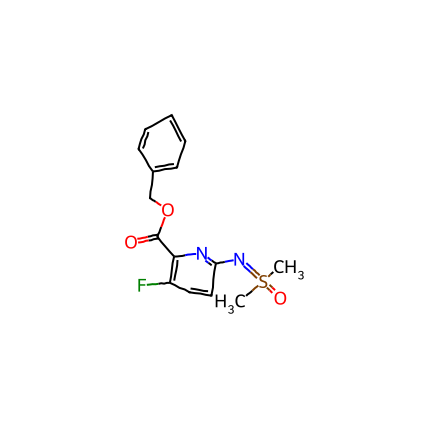 CS(C)(=O)=Nc1ccc(F)c(C(=O)OCc2ccccc2)n1